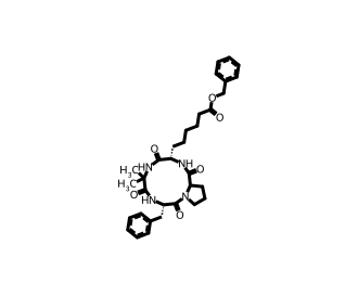 CC1(C)NC(=O)[C@H](CCCCCC(=O)OCc2ccccc2)NC(=O)C2CCCN2C(=O)[C@H](Cc2ccccc2)NC1=O